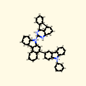 c1ccc(-n2c3ccccc3c3cc(-c4cc5c(c6ccccc46)c4ccccc4n5-c4nc5c6c(cccc6n4)-c4ccccc4-5)ccc32)cc1